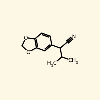 CC(C)C(C#N)c1ccc2c(c1)OCO2